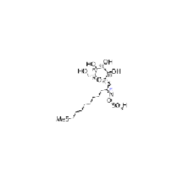 CSCCCCCCCC/C(=N\OS(=O)(=O)O)S[C@@H]1O[C@H](CO)[C@@H](O)[C@H](O)[C@H]1O